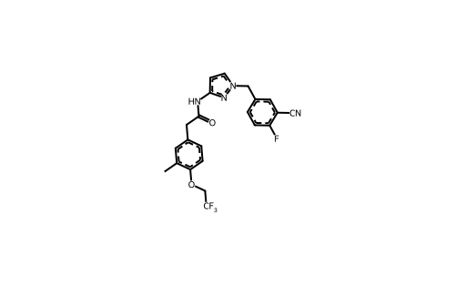 Cc1cc(CC(=O)Nc2ccn(Cc3ccc(F)c(C#N)c3)n2)ccc1OCC(F)(F)F